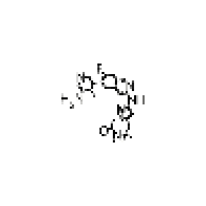 Cc1c(N)cncc1-c1cc2cc(Nc3cc4n(n3)CC(=O)N(C)C(C)(C)C4)ncc2cc1F